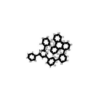 c1ccc(-c2cc(-c3cccc(-c4cccc(-c5cccc6c7ccccc7c7ccccc7c56)c4)c3)nc(-c3ccccc3)n2)cc1